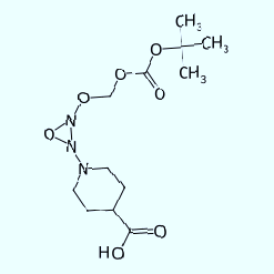 CC(C)(C)OC(=O)OCOn1on1N1CCC(C(=O)O)CC1